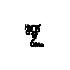 COCCN1CC2(C1)OC(C)=CNC2=O